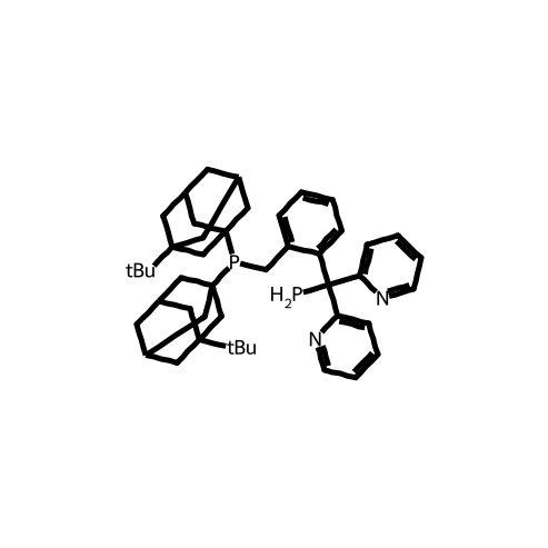 CC(C)(C)C12CC3CC(CC(P(Cc4ccccc4C(P)(c4ccccn4)c4ccccn4)C45CC6CC(C4)CC(C(C)(C)C)(C6)C5)(C3)C1)C2